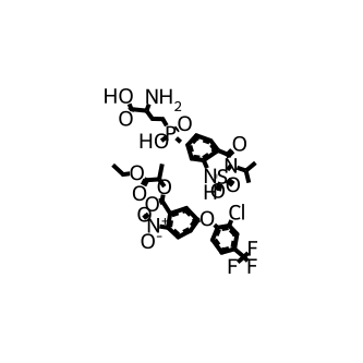 CC(C)N1C(=O)c2ccccc2NS1(=O)=O.CCOC(=O)C(C)OC(=O)c1cc(Oc2ccc(C(F)(F)F)cc2Cl)ccc1[N+](=O)[O-].CP(=O)(O)CCC(N)C(=O)O